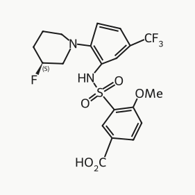 COc1ccc(C(=O)O)cc1S(=O)(=O)Nc1cc(C(F)(F)F)ccc1N1CCC[C@H](F)C1